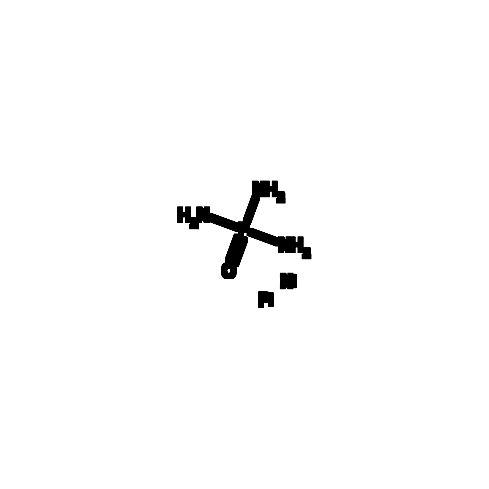 NP(N)(N)=O.[N].[P]